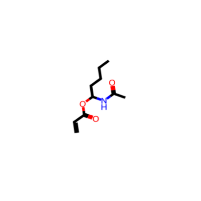 C=CC(=O)OC(CCCC)NC(C)=O